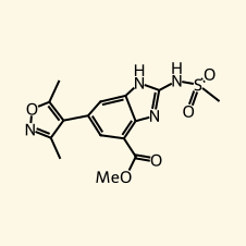 COC(=O)c1cc(-c2c(C)noc2C)cc2[nH]c(NS(C)(=O)=O)nc12